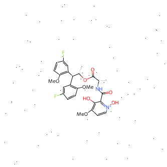 COc1ccc(F)cc1C(c1cc(F)ccc1OC)[C@H](C)OC(=O)[C@H](C)NC(=O)c1c(O)c(OC)cc[n+]1O